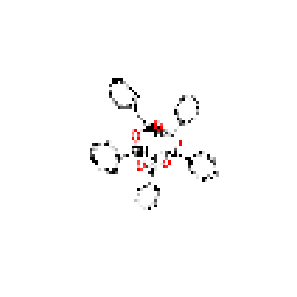 c1ccc([SiH]2O[SiH](c3ccccc3)O[SiH](c3ccccc3)O[SiH](c3ccccc3)O[SiH](c3ccccc3)O2)cc1